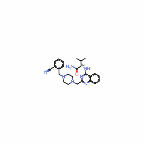 CC(C)[C@H](Nc1nc(CN2CCN(Cc3ccccc3C#N)CC2)nc2ccccc12)C(N)=O